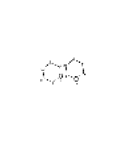 C1CCOCC1.C1COCCO1